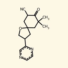 CC1(C)CC2(CC(C#N)C1=O)CC(c1cnccn1)CO2